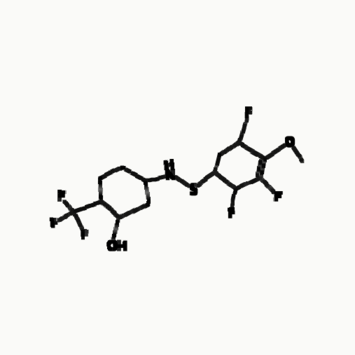 COC1=C(F)C(F)C(SNC2CCC(C(F)(F)F)C(O)C2)CC1F